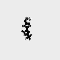 Cn1nc(C(F)(F)F)cc1C1NC(CN)=CO1